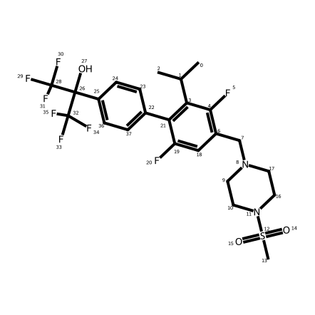 CC(C)c1c(F)c(CN2CCN(S(C)(=O)=O)CC2)cc(F)c1-c1ccc(C(O)(C(F)(F)F)C(F)(F)F)cc1